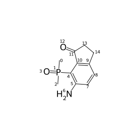 CP(C)(=O)c1c(N)ccc2c1C(=O)CC2